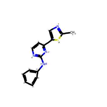 Cc1ncc(-c2ccnc(Nc3ccccc3)n2)s1